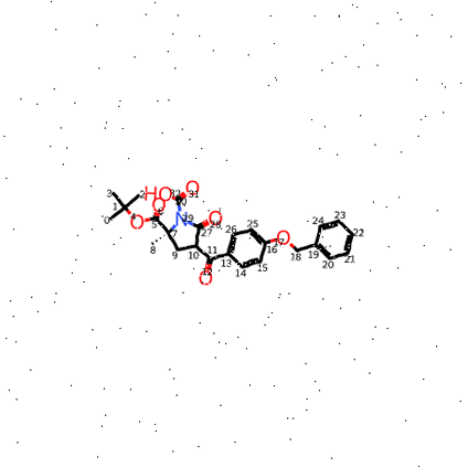 CC(C)(C)OC(=O)[C@]1(C)CC(C(=O)c2ccc(OCc3ccccc3)cc2)C(=O)N1C(=O)O